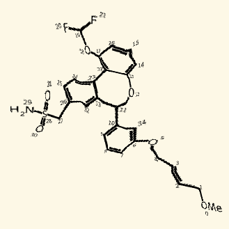 COCC=CCOc1cccc(C2Oc3cccc(OC(F)F)c3-c3ccc(CS(N)(=O)=O)cc32)c1